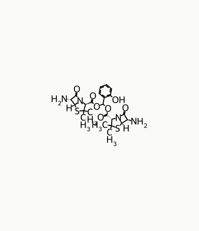 CC1(C)S[C@@H]2[C@H](N)C(=O)N2[C@H]1C(=O)OC(OC(=O)[C@@H]1N2C(=O)[C@@H](N)[C@H]2SC1(C)C)c1ccccc1O